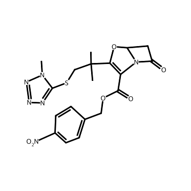 Cn1nnnc1SCC(C)(C)C1=C(C(=O)OCc2ccc([N+](=O)[O-])cc2)N2C(=O)CC2O1